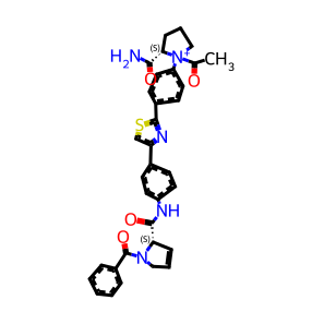 CC(=O)[N+]1(c2ccc(-c3nc(-c4ccc(NC(=O)[C@@H]5C=CCN5C(=O)c5ccccc5)cc4)cs3)cc2)CCC[C@H]1C(N)=O